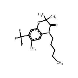 CCCCCN1C(=O)C(C)(C)Oc2cc(C(F)(F)F)c(C)cc21